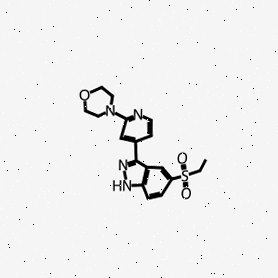 CCS(=O)(=O)c1ccc2[nH]nc(-c3ccnc(N4CCOCC4)c3)c2c1